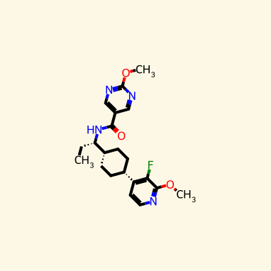 CC[C@H](NC(=O)c1cnc(OC)nc1)[C@H]1CC[C@@H](c2ccnc(OC)c2F)CC1